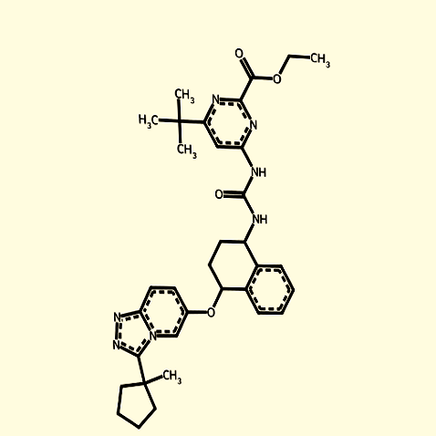 CCOC(=O)c1nc(NC(=O)NC2CCC(Oc3ccc4nnc(C5(C)CCCC5)n4c3)c3ccccc32)cc(C(C)(C)C)n1